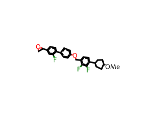 COC1CCC(c2ccc(COc3ccc(-c4ccc(C5CO5)cc4F)cc3)c(F)c2F)CC1